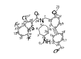 CN[C@H]1CC[C@H](N(Cc2cc(-c3ccc(C=O)cc3)ccc2OC)C(=O)c2sc3c(F)ccc(F)c3c2Cl)CC1